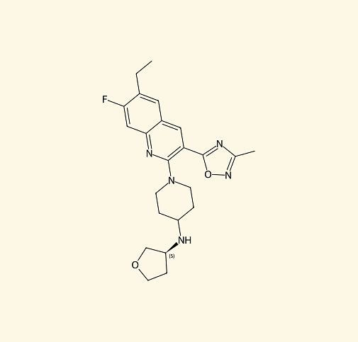 CCc1cc2cc(-c3nc(C)no3)c(N3CCC(N[C@H]4CCOC4)CC3)nc2cc1F